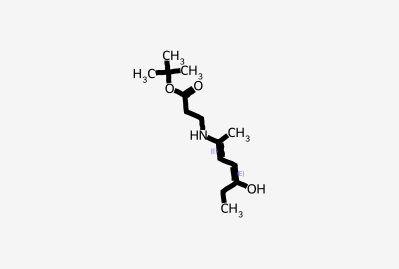 CC/C(O)=C\C=C(/C)NCCC(=O)OC(C)(C)C